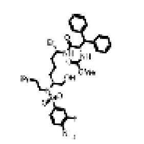 CC[C@@H](CCC[C@@H](CO)N(CCC(C)C)S(=O)(=O)c1ccc(N)c(F)c1)NC(=O)[C@@H](NC(=O)OC)C(c1ccccc1)c1ccccc1